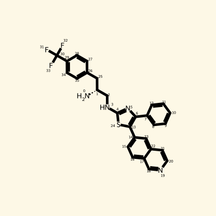 N[C@@H](CNc1nc(-c2ccccc2)c(-c2ccc3cnccc3c2)s1)Cc1ccc(C(F)(F)F)cc1